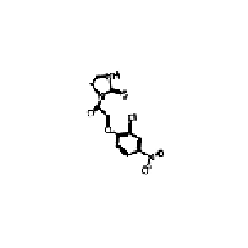 O=C(COc1ccc([N+](=O)[O-])cc1Cl)N1CCNC1=S